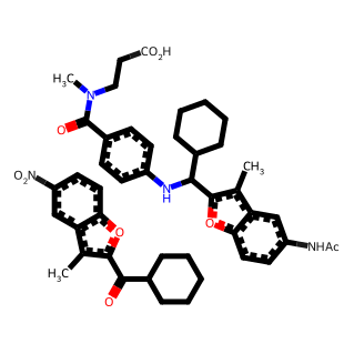 CC(=O)Nc1ccc2oc(C(Nc3ccc(C(=O)N(C)CCC(=O)O)cc3)C3CCCCC3)c(C)c2c1.Cc1c(C(=O)C2CCCCC2)oc2ccc([N+](=O)[O-])cc12